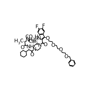 C[C@@H](C(=O)N[C@H](C(=O)N1CCN(C(=O)c2c(OCCOCCOCCOCc3ccccc3)c3cc(F)c(F)cc3n2C)CC1)C1CCCCC1)N(C)C(=O)O